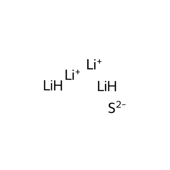 [Li+].[Li+].[LiH].[LiH].[S-2]